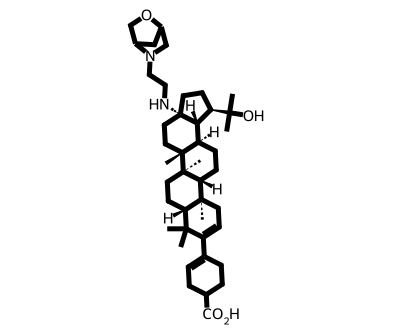 CC(C)(O)[C@@H]1CC[C@]2(NCCN3CC4CC3CO4)CC[C@]3(C)[C@H](CC[C@@H]4[C@@]5(C)CC=C(C6=CCC(C(=O)O)CC6)C(C)(C)[C@@H]5CC[C@]43C)[C@@H]12